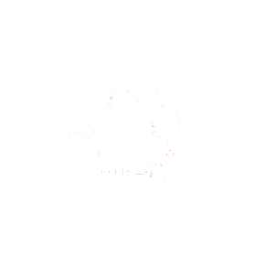 CN1C2CCC1CC(Oc1ccc3oc4ccccc4c3c1)C2.O=C(O)/C=C/C(=O)O